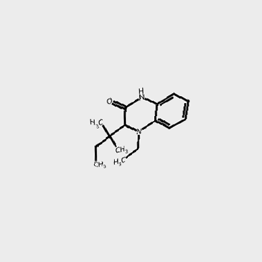 CCN1c2ccccc2NC(=O)C1C(C)(C)CC